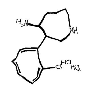 Cl.Cl.NC1CCNCC1c1ccccc1Cl